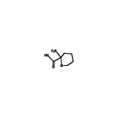 NC1(C(=O)O)CCCCO1